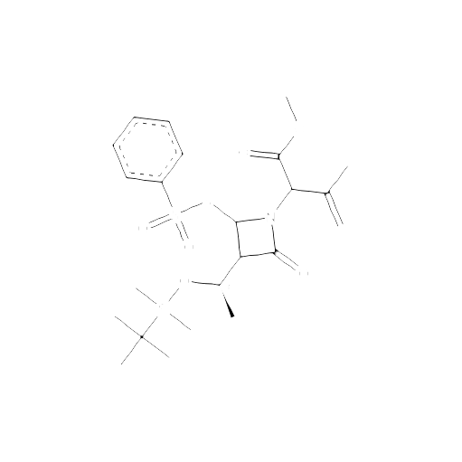 C=C(C)C(C(=O)OC)N1C(=O)C([C@@H](C)O[Si](C)(C)C(C)(C)C)C1SS(=O)(=O)c1ccccc1